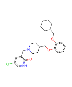 O=c1[nH]cc(Cl)cc1CN1CCC(COc2ccccc2OCC2CCCCC2)CC1